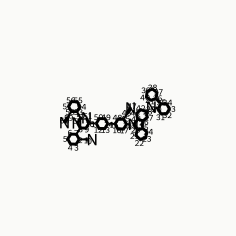 N#Cc1ccccc1-c1cc(-c2ccc(-c3ccc(-n4c5ccccc5c5cc(-n6c7ccccc7c7ccccc76)ccc54)c(C#N)c3)cc2)nc(-c2ccccc2C#N)n1